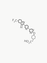 O=C(O)CC1CCC(Oc2ncc(-c3ccc(-c4nc5ccc(C(F)(F)F)cc5[nH]4)cn3)cn2)CC1